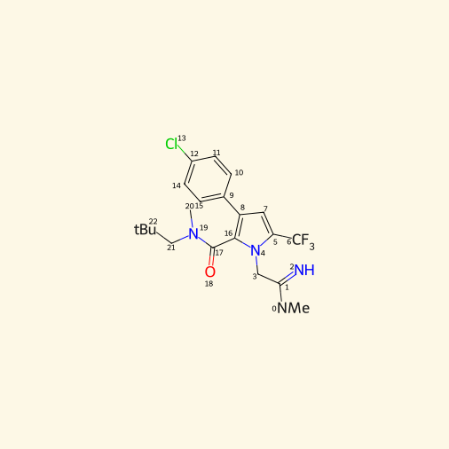 CNC(=N)Cn1c(C(F)(F)F)cc(-c2ccc(Cl)cc2)c1C(=O)N(C)CC(C)(C)C